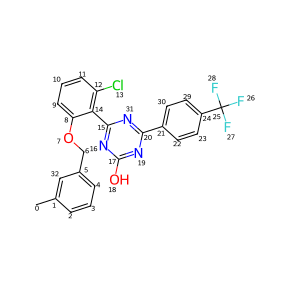 Cc1cccc(COc2cccc(Cl)c2-c2nc(O)nc(-c3ccc(C(F)(F)F)cc3)n2)c1